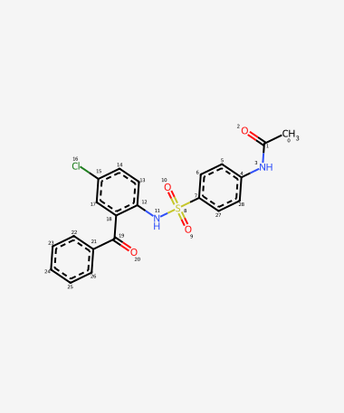 CC(=O)Nc1ccc(S(=O)(=O)Nc2ccc(Cl)cc2C(=O)c2ccccc2)cc1